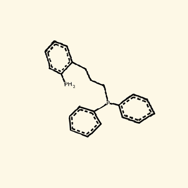 Pc1ccccc1CCCP(c1ccccc1)c1ccccc1